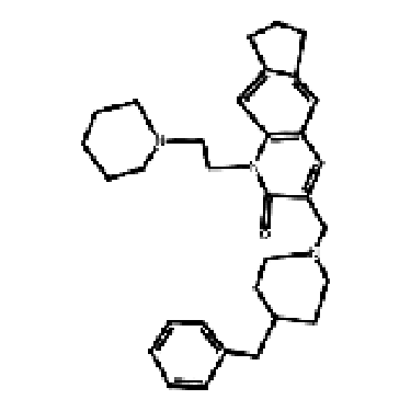 O=c1c(CN2CCC(Cc3ccccc3)CC2)cc2cc3c(cc2n1CCN1CCCCC1)CCC3